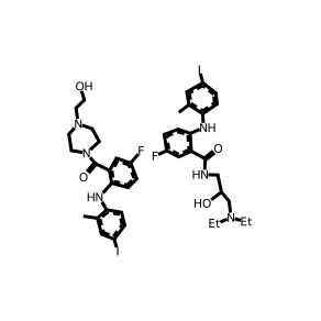 CCN(CC)CC(O)CNC(=O)c1cc(F)ccc1Nc1ccc(I)cc1C.Cc1cc(I)ccc1Nc1ccc(F)cc1C(=O)N1CCN(CCO)CC1